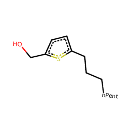 CCCCCCCCc1ccc(CO)s1